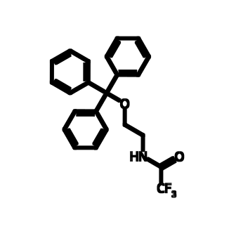 O=C(NCCOC(c1ccccc1)(c1ccccc1)c1ccccc1)C(F)(F)F